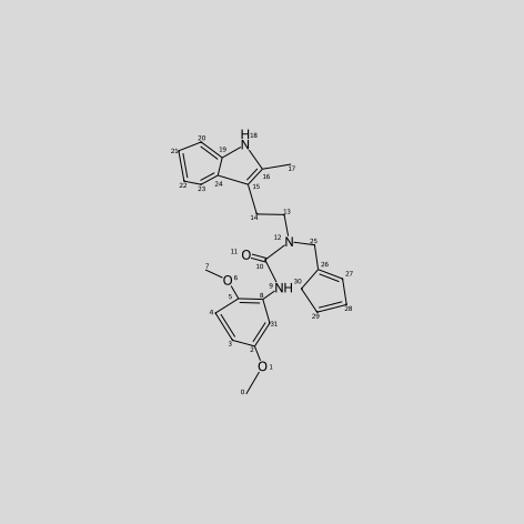 COc1ccc(OC)c(NC(=O)N(CCc2c(C)[nH]c3ccccc23)CC2=CC=CC2)c1